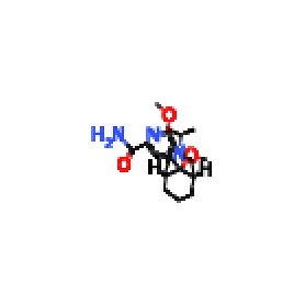 COC[C@@H](C)N1C[C@H]2CCC[C@@H](C1)[C@@]2(OC)c1ccnc(C(N)=O)c1